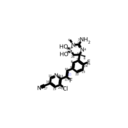 CN1C(N)=N[C@](C)(c2cc(/C=C(\F)c3ncc(C#N)cc3Cl)ccc2F)CS1(O)O